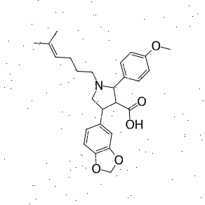 COc1ccc(C2C(C(=O)O)C(c3ccc4c(c3)OCO4)CN2CCCC=C(C)C)cc1